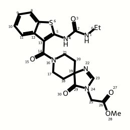 CCNC(=O)Nc1sc2ccccc2c1C(=O)N1CCC2(CC1)N=CN(CC(=O)OC)C2=O